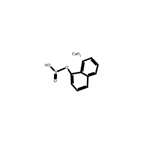 O=S(O)Oc1cccc2ccccc12.[CaH2]